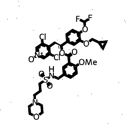 COc1ccc(CNS(=O)(=O)CCCN2CCOCC2)cc1C(=O)O[C@@H](Cc1c(Cl)c[n+]([O-])cc1Cl)c1ccc(OC(F)F)c(OCC2CC2)c1